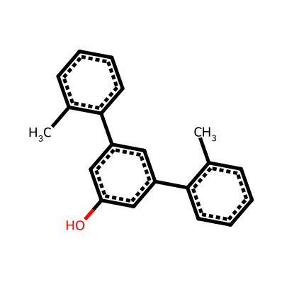 Cc1ccccc1-c1cc(O)cc(-c2ccccc2C)c1